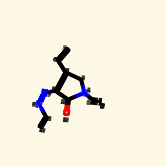 BN1CC(C=C)=C(/N=N\C=C)C1=O